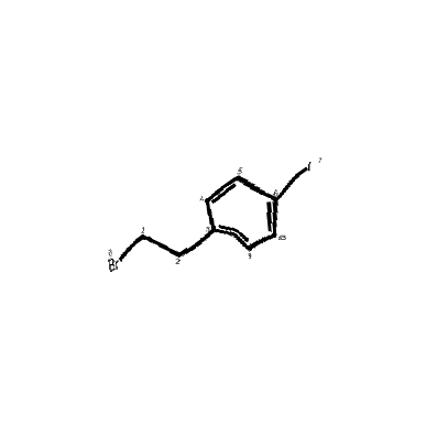 BrC[CH]c1ccc(I)cc1